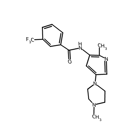 Cc1ncc(N2CCN(C)CC2)cc1NC(=O)c1cccc(C(F)(F)F)c1